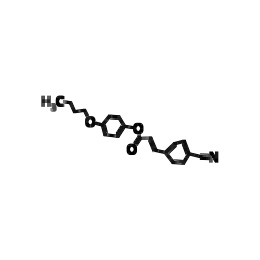 CCCCOc1ccc(OC(=O)C=Cc2ccc(C#N)cc2)cc1